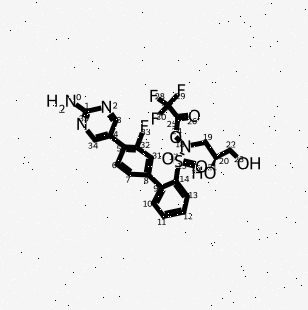 Nc1ncc(-c2ccc(-c3ccccc3S(=O)(=O)N(C[C@H](O)CO)OC(=O)C(F)(F)F)cc2F)cn1